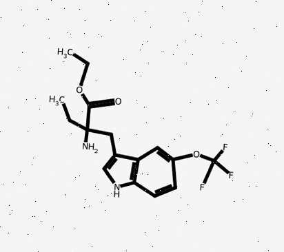 CCOC(=O)C(N)(CC)Cc1c[nH]c2ccc(OC(F)(F)F)cc12